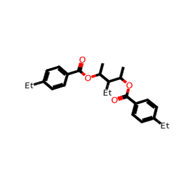 CCc1ccc(C(=O)OC(C)C(CC)C(C)OC(=O)c2ccc(CC)cc2)cc1